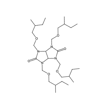 CCC(C)COCN1C(=O)N(COCC(C)CC)C2C1N(COCC(C)CC)C(=O)N2COCC(C)CC